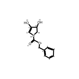 O=C(OCc1ccccc1)N1C=C(O)C(O)C1